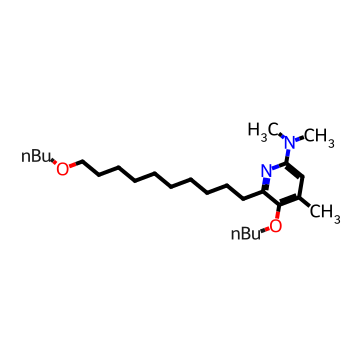 CCCCOCCCCCCCCCCc1nc(N(C)C)cc(C)c1OCCCC